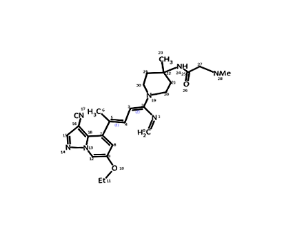 C=N/C(=C\C=C(/C)c1cc(OCC)cn2ncc(C#N)c12)N1CCC(C)(NC(=O)CNC)CC1